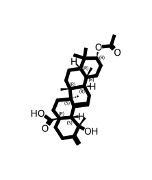 C=C1CC[C@]2(C(=O)O)CC[C@]3(C)C(=CC[C@@H]4[C@@]5(C)CC[C@@H](OC(C)=O)C(C)(C)[C@@H]5CC[C@]43C)[C@@H]2[C@]1(C)O